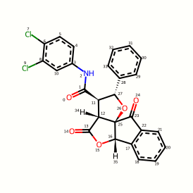 O=C(Nc1ccc(Cl)c(Cl)c1)[C@@H]1[C@H]2C(=O)O[C@H]3c4ccccc4C(=O)[C@@]23O[C@H]1c1ccccc1